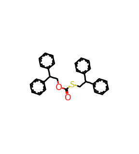 O=C(OCC(c1ccccc1)c1ccccc1)SCC(c1ccccc1)c1ccccc1